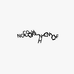 N#C[C@H](Cc1ccc(OCCNC2C3CN(Cc4cccc(F)c4)CC32)cc1)C(=O)O